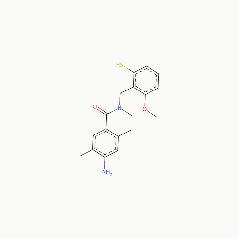 COc1cccc(S)c1CN(C)C(=O)c1cc(C)c(N)cc1C